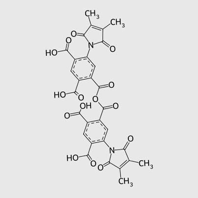 CC1=C(C)C(=O)N(c2cc(C(=O)OC(=O)c3cc(N4C(=O)C(C)=C(C)C4=O)c(C(=O)O)cc3C(=O)O)c(C(=O)O)cc2C(=O)O)C1=O